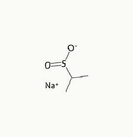 CC(C)S(=O)[O-].[Na+]